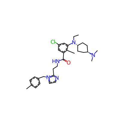 CCN(c1cc(Cl)cc(C(=O)NCCc2nccn2Cc2ccc(C)cc2)c1C)[C@H]1CC[C@H](N(C)C)CC1